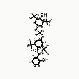 CC(C)(Sc1cc(C(C)(C)C)c(O)c(C(C)(C)C)c1)Sc1cc(C(C)(C)C)c(OC(=O)c2ccccc2O)c(C(C)(C)C)c1